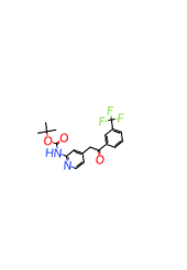 CC(C)(C)OC(=O)Nc1cc(CC(=O)c2cccc(C(F)(F)F)c2)ccn1